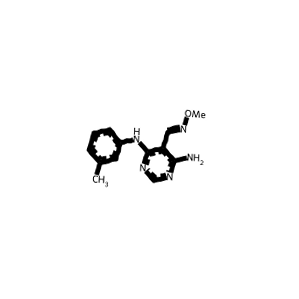 CON=Cc1c(N)ncnc1Nc1cccc(C)c1